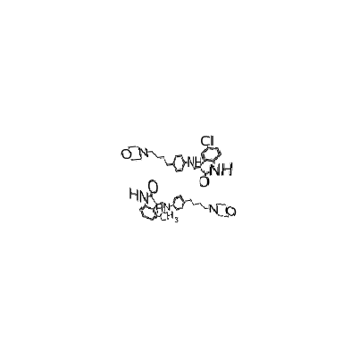 Cc1cccc2c1/C(=C\Nc1ccc(CCCCN3CCOCC3)cc1)C(=O)N2.O=C1Nc2ccc(Cl)cc2/C1=C\Nc1ccc(CCCCN2CCOCC2)cc1